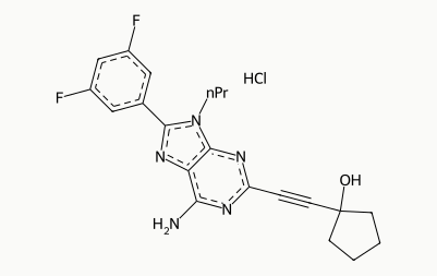 CCCn1c(-c2cc(F)cc(F)c2)nc2c(N)nc(C#CC3(O)CCCC3)nc21.Cl